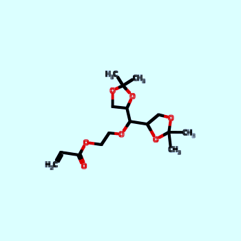 C=CC(=O)OCCOC(C1COC(C)(C)O1)C1COC(C)(C)O1